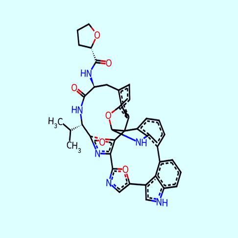 CC(C)[C@@H]1NC(=O)[C@@H](NC(=O)[C@@H]2CCCO2)Cc2ccc3c(c2)C24c5cccc(c5NC2O3)-c2cccc3[nH]cc(c23)-c2cnc(o2)-c2nc1oc24